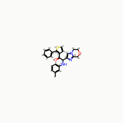 Cc1cccc(NC(C(=O)c2ccsc2-c2ccccc2)c2cn3c(n2)COCC3)c1